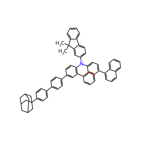 CC1(C)c2ccccc2-c2ccc(N(c3ccc(-c4cccc5ccccc45)cc3)c3ccc(-c4ccc(-c5ccc(C67CC8CC(CC(C8)C6)C7)cc5)cc4)cc3-c3ccccc3)cc21